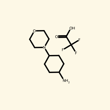 NC1CCC(N2CCOCC2)CC1.O=C(O)C(F)(F)F